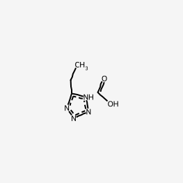 CCc1nnn[nH]1.O=CO